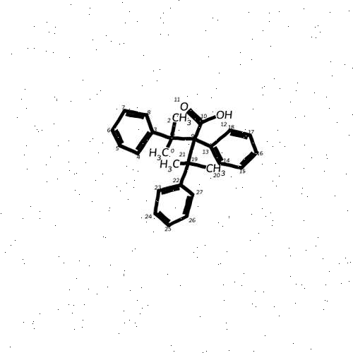 CC(C)(c1ccccc1)C(C(=O)O)(c1ccccc1)C(C)(C)c1ccccc1